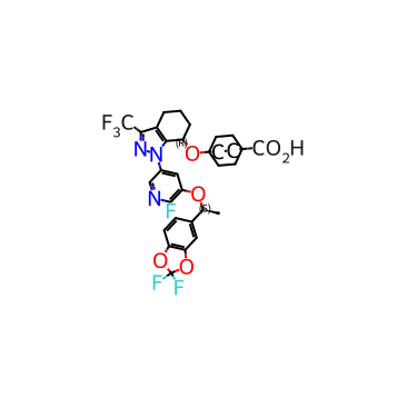 C[C@H](Oc1cc(-n2nc(C(F)(F)F)c3c2[C@H](OC24CCC(C(=O)O)(CC2)CC4)CCC3)cnc1F)c1ccc2c(c1)OC(F)(F)O2